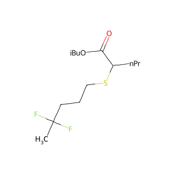 CCCC(SCCCC(C)(F)F)C(=O)OCC(C)C